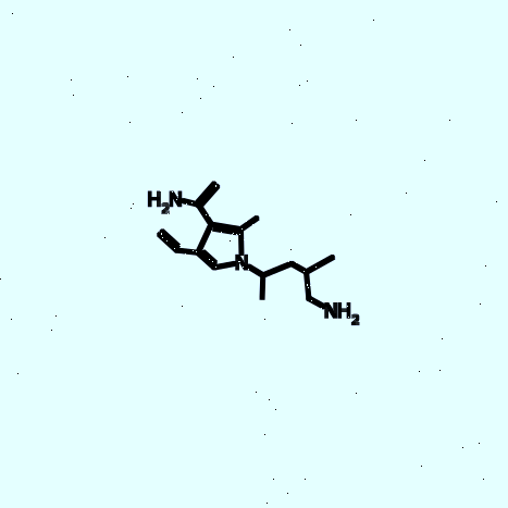 C=Cc1cn(C(C)CC(C)CN)c(C)c1C(=C)N